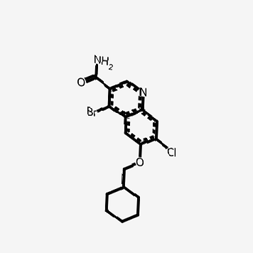 NC(=O)c1cnc2cc(Cl)c(OCC3CCCCC3)cc2c1Br